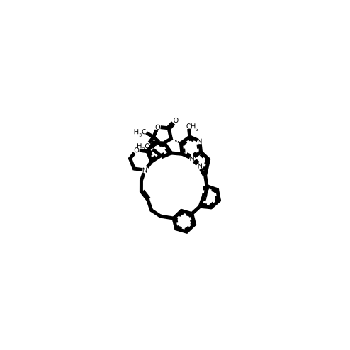 Cc1nc2cc3nn2c(c1[C@@H]1OC(C)(C)OC1=O)-c1ccc2c(c1Cl)N(C/C=C/CCc1cccc(c1)-c1cccc-3c1)CCO2